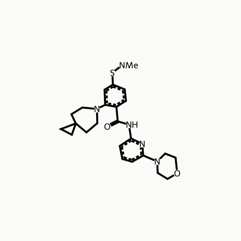 CNSc1ccc(C(=O)Nc2cccc(N3CCOCC3)n2)c(N2CCC3(CC2)CC3)c1